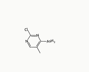 Cc1cnc(Cl)nc1[AsH2]